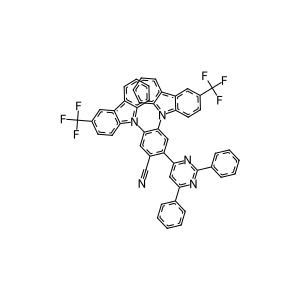 N#Cc1cc(-n2c3ccccc3c3cc(C(F)(F)F)ccc32)c(-n2c3ccccc3c3cc(C(F)(F)F)ccc32)cc1-c1cc(-c2ccccc2)nc(-c2ccccc2)n1